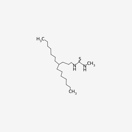 CCCCCCCC(CCCCCCC)CCCNC(=S)NC